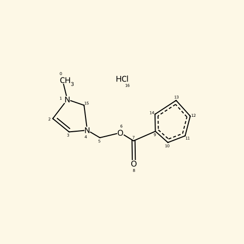 CN1C=CN(COC(=O)c2ccccc2)C1.Cl